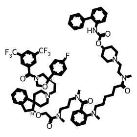 CN(CCN1CCC(OC(=O)Nc2ccccc2-c2ccccc2)CC1)C(=O)CCCCCN(C)c1ccccc1C(=O)N(C)CCCN(C)C(=O)CO[C@H]1Cc2ccccc2C12CCN(CC[C@]1(c3ccc(F)cc3)CN(C(=O)c3cc(C(F)(F)F)cc(C(F)(F)F)c3)CO1)CC2